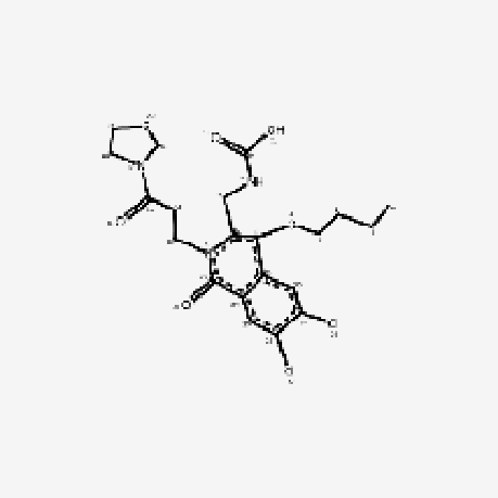 CCCCOc1c(CNC(=O)O)n(CCC(=O)N2CCSC2)c(=O)c2cc(Cl)c(Cl)cc12